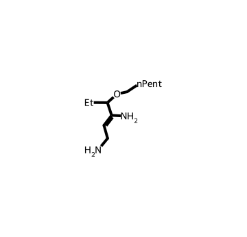 CCCCCCOC(CC)C(N)=CCN